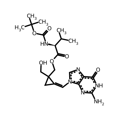 CC(C)[C@H](NC(=O)OC(C)(C)C)C(=O)OCC1(CO)C/C1=C/n1cnc2c(=O)[nH]c(N)nc21